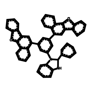 c1ccc(C2Nc3ccccc3N2c2cc(-c3cc4c5ccccc5oc4c4ccccc34)cc(-c3cc4c5ccccc5oc4c4ccccc34)c2)cc1